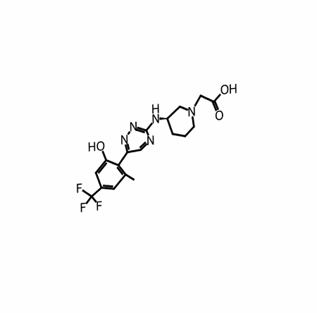 Cc1cc(C(F)(F)F)cc(O)c1-c1cnc(N[C@@H]2CCCN(CC(=O)O)C2)nn1